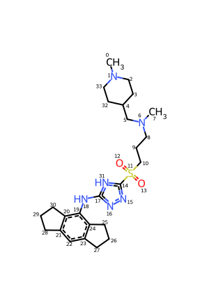 CN1CCC(CN(C)CCCS(=O)(=O)c2nnc(Nc3c4c(cc5c3CCC5)CCC4)[nH]2)CC1